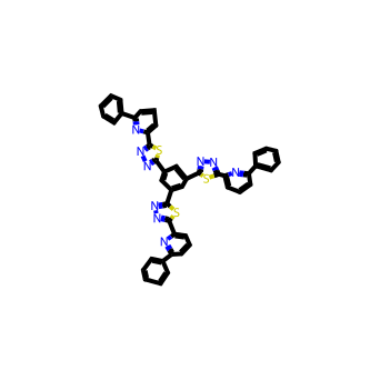 c1ccc(-c2cccc(-c3nnc(-c4cc(-c5nnc(-c6cccc(-c7ccccc7)n6)s5)cc(-c5nnc(-c6cccc(-c7ccccc7)n6)s5)c4)s3)n2)cc1